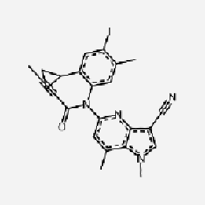 CC#CC(=O)N(c1cc(C)c2c(n1)c(C#N)cn2C)c1cc(C)c(I)cc1C1CC1